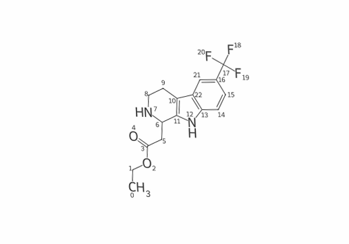 CCOC(=O)CC1NCCc2c1[nH]c1ccc(C(F)(F)F)cc21